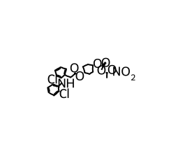 CC(OC(=O)OC1CCC(OC(=O)Cc2ccccc2Nc2c(Cl)cccc2Cl)CC1)O[N+](=O)[O-]